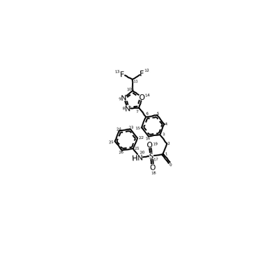 C=C(Cc1ccc(-c2nnc(C(F)F)o2)cc1)S(=O)(=O)Nc1ccccc1